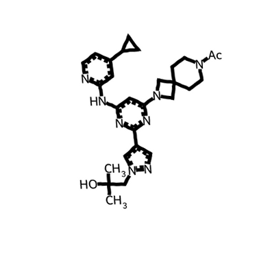 CC(=O)N1CCC2(CC1)CN(c1cc(Nc3cc(C4CC4)ccn3)nc(-c3cnn(CC(C)(C)O)c3)n1)C2